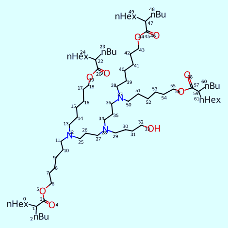 CCCCCCC(CCCC)C(=O)OCCCCCCN(CCCCCCOC(=O)C(CCCC)CCCCCC)CCCN(CCCCO)CCCN(CCCCCCOC(=O)C(CCCC)CCCCCC)CCCCCCOC(=O)C(CCCC)CCCCCC